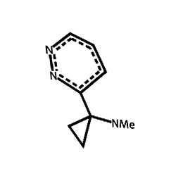 CNC1(c2cccnn2)CC1